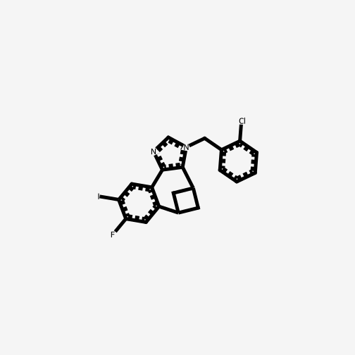 Fc1cc2c(cc1I)-c1ncn(Cc3ccccc3Cl)c1C1CC2C1